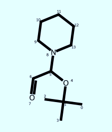 CC(C)(C)OC(C=O)N1CCCCC1